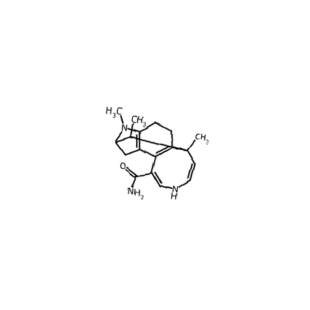 CC1C2CC3=C(CCC4=C3/C(C(N)=O)=C\N/C=C\C41C)N2C